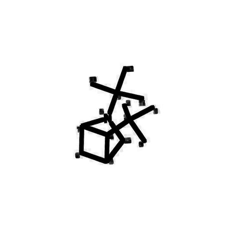 CC(C)(C)C1C2CC1N(C(C)(C)C)C2